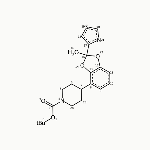 CC(C)(C)OC(=O)N1CCC(c2cccc3c2OC(C)(c2cscn2)O3)CC1